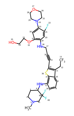 CN1CCC(Nc2cccc3c(CC(F)(F)F)c(C#CCNc4cc(F)c(N5CCOCC5)cc4OCCO)sc23)C(F)(F)C1